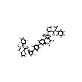 CNC(=O)c1nc([C@@H]2CCCN2C(=O)[C@@H](c2ccccc2)N(C)C)[nH]c1-c1ccc(-c2ccc(-c3cnc([C@@H]4CCCN4C(=O)[C@@H](c4ccccc4)N(C)C)[nH]3)cc2)cc1